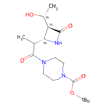 CC(C(=O)N1CCN(C(=O)OC(C)(C)C)CC1)[C@H]1NC(=O)[C@@H]1[C@@H](C)O